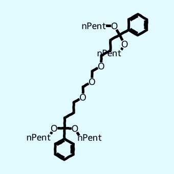 CCCCCOC(CCCOCOCOCCCC(OCCCCC)(OCCCCC)c1ccccc1)(OCCCCC)c1ccccc1